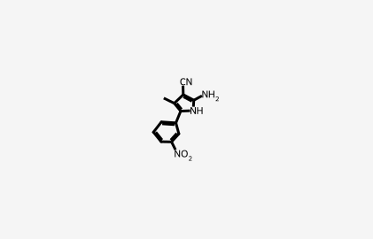 Cc1c(-c2cccc([N+](=O)[O-])c2)[nH]c(N)c1C#N